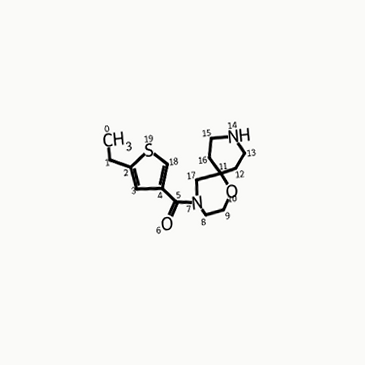 CCc1cc(C(=O)N2CCOC3(CCNCC3)C2)cs1